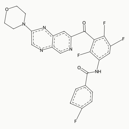 O=C(Nc1cc(F)c(F)c(C(=O)c2cc3nc(N4CCOCC4)cnc3cn2)c1F)c1ccc(F)cc1